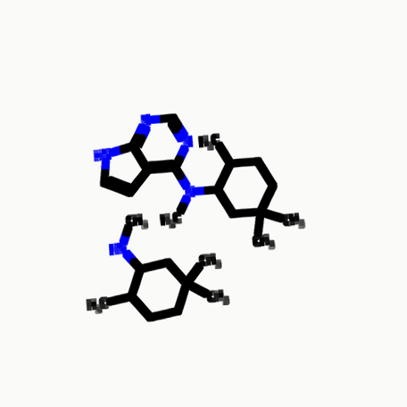 CC1CCC(C)(C)CC1N(C)c1ncnc2[nH]ccc12.CNC1CC(C)(C)CCC1C